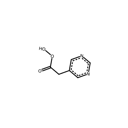 O=C(Cc1cncnc1)OO